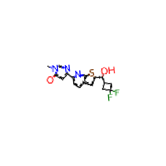 Cn1cnc(-c2ccc3cc([C@@H](O)C4CC(F)(F)C4)sc3n2)cc1=O